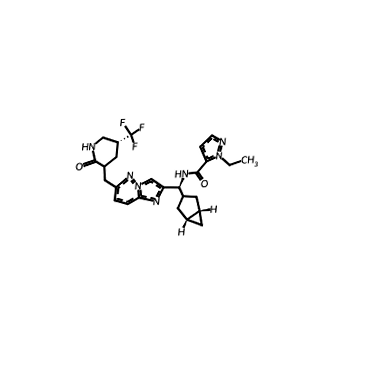 CCn1nccc1C(=O)N[C@H](c1cn2nc(CC3C[C@@H](C(F)(F)F)CNC3=O)ccc2n1)C1C[C@@H]2C[C@@H]2C1